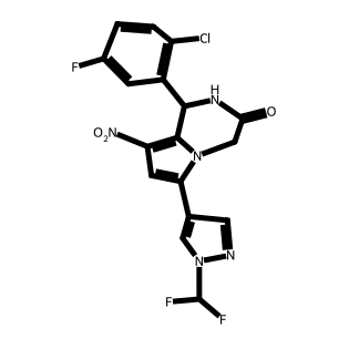 O=C1Cn2c(-c3cnn(C(F)F)c3)cc([N+](=O)[O-])c2C(c2cc(F)ccc2Cl)N1